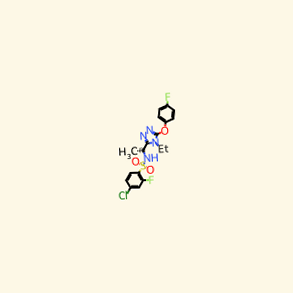 CCn1c(Oc2ccc(F)cc2)nnc1[C@@H](C)NS(=O)(=O)c1ccc(Cl)cc1F